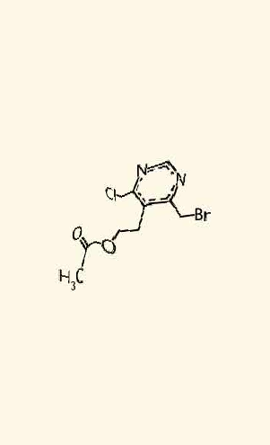 CC(=O)OCCc1c(Cl)ncnc1CBr